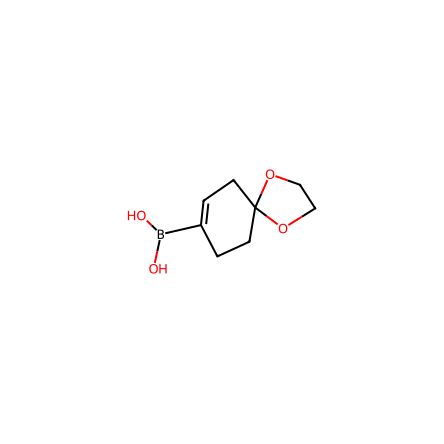 OB(O)C1=CCC2(CC1)OCCO2